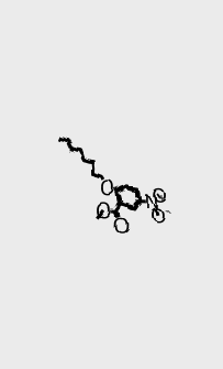 CCCCCCCCOc1ccc([N+](=O)[O-])cc1C(=O)OC